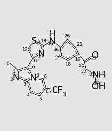 Cc1nc2ccc(C(F)(F)F)cn2c1-c1csc(Nc2ccc(C(=O)CNO)cc2)n1